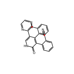 COc1ccccc1-c1c(-c2ccccn2)c[nH]c(=O)c1-c1ccccc1C#N